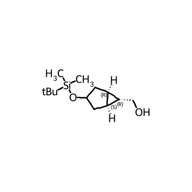 CC(C)(C)[Si](C)(C)OC1C[C@@H]2[C@@H](CO)[C@@H]2C1